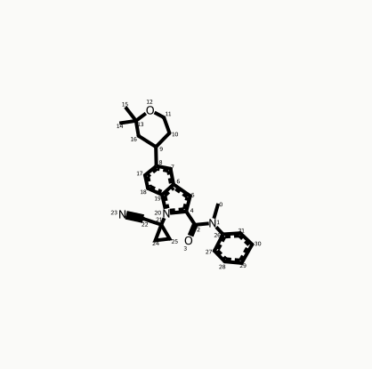 CN(C(=O)c1cc2cc(C3CCOC(C)(C)C3)ccc2n1C1(C#N)CC1)c1ccccc1